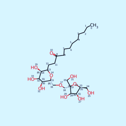 CCCCCCCCCC(=O)CCC1O[C@H](COC[C@]2(CO)O[C@@H](CO)[C@@H](O)C2O)[C@@H](O)C(O)[C@H]1O